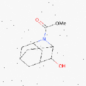 COC(=O)N1C2CC3CC(C2)C(O)C1C3